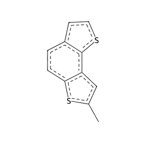 Cc1cc2c(ccc3ccsc32)s1